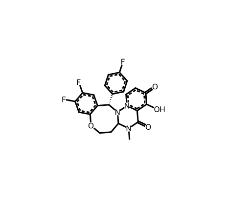 CN1C(=O)c2c(O)c(=O)ccn2N2C1CCOc1cc(F)c(F)cc1[C@@H]2c1ccc(F)cc1